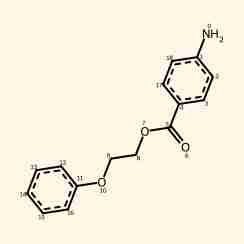 Nc1ccc(C(=O)OCCOc2ccccc2)cc1